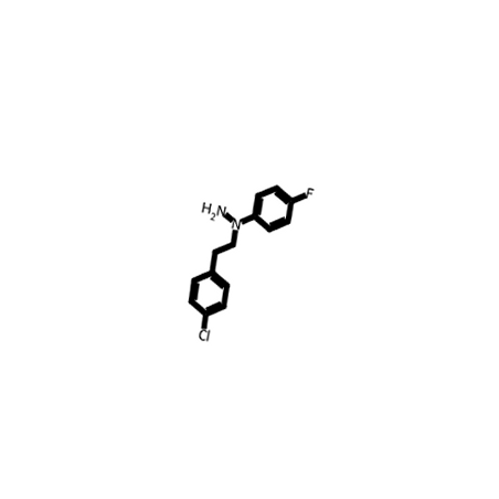 NN(CCc1ccc(Cl)cc1)c1ccc(F)cc1